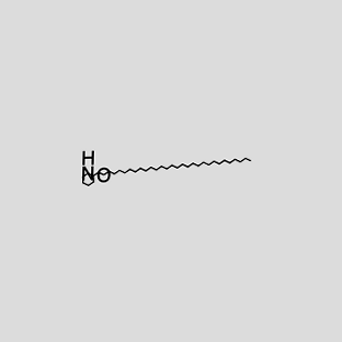 CCCCCCCCCCCCCCCCCCCCCCCCCCCCOCC1CCCCN1